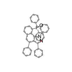 O=P(c1ccccc1)(c1ccccc1)c1cccc2cc(-c3ccccc3)c3c(-c4ccccc4)nn(-c4ccccc4)c3c12